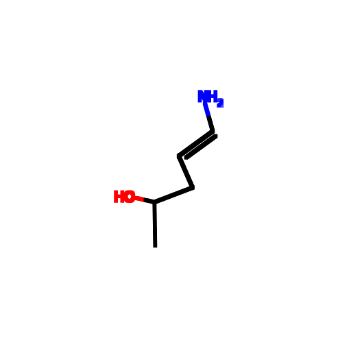 CC(O)CC=CN